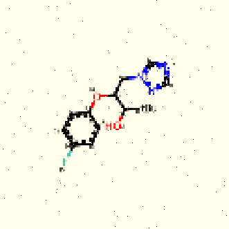 CC(C)(C)C(O)C(Cn1cncn1)Oc1ccc(F)cc1